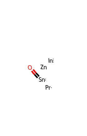 [In].[O]=[Sn].[Pr].[Zn]